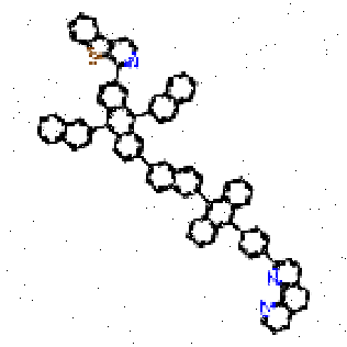 c1ccc2cc(-c3c4ccc(-c5ccc6cc(-c7c8ccccc8c(-c8ccc(-c9ccc%10ccc%11cccnc%11c%10n9)cc8)c8ccccc78)ccc6c5)cc4c(-c4ccc5ccccc5c4)c4cc(-c5nccc6c5sc5ccccc56)ccc34)ccc2c1